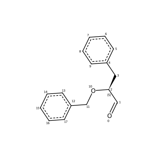 O=[C][C@H](Cc1ccccc1)OCc1ccccc1